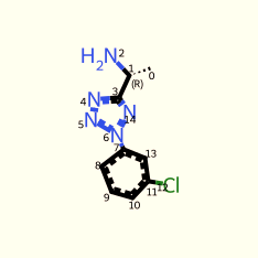 C[C@@H](N)c1nnn(-c2cccc(Cl)c2)n1